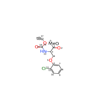 COC(=O)C(COc1ccccc1Cl)NC(=O)OC(C)(C)C